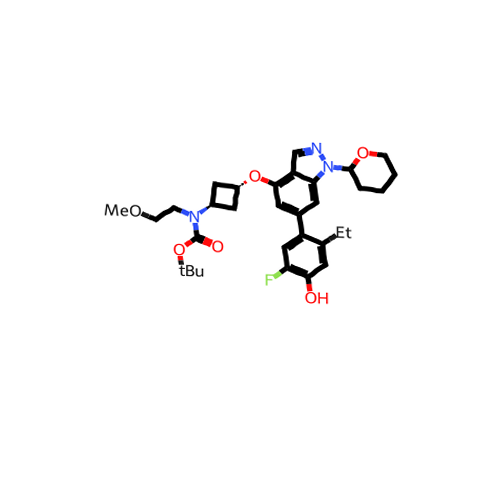 CCc1cc(O)c(F)cc1-c1cc(O[C@H]2C[C@H](N(CCOC)C(=O)OC(C)(C)C)C2)c2cnn(C3CCCCO3)c2c1